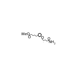 COC(=O)CCCCc1cccc(OC[C@@H](C)CCC(N)=O)c1